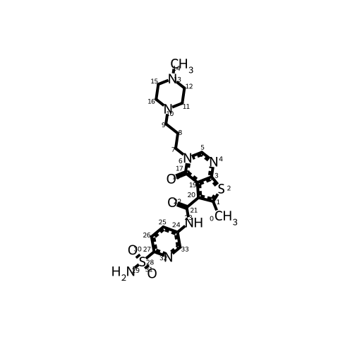 Cc1sc2ncn(CCCN3CCN(C)CC3)c(=O)c2c1C(=O)Nc1ccc(S(N)(=O)=O)nc1